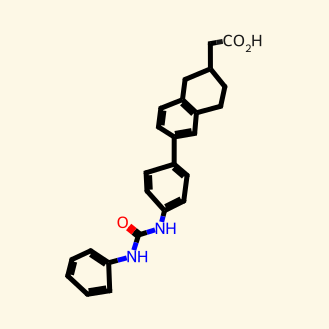 O=C(O)CC1CCc2cc(-c3ccc(NC(=O)Nc4ccccc4)cc3)ccc2C1